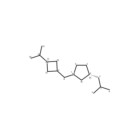 CC(C)C[C@H]1CCN(CC2CN(C(C)C)C2)C1